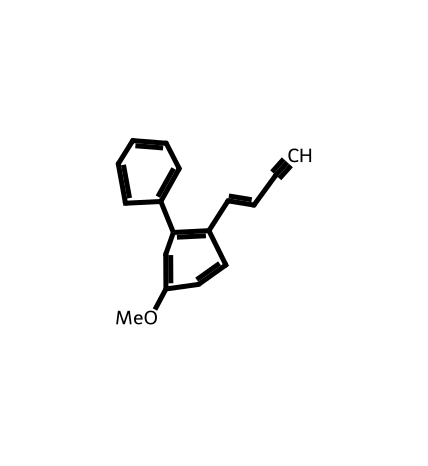 C#C/C=C/c1ccc(OC)cc1-c1ccccc1